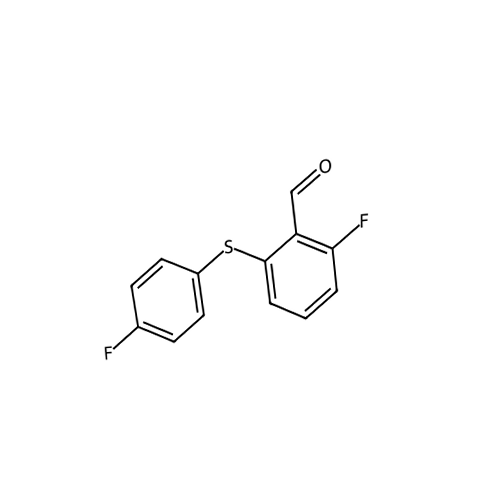 O=Cc1c(F)cccc1Sc1ccc(F)cc1